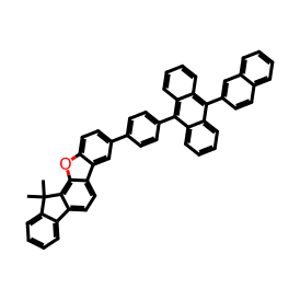 CC1(C)c2ccccc2-c2ccc3c(oc4ccc(-c5ccc(-c6c7ccccc7c(-c7ccc8ccccc8c7)c7ccccc67)cc5)cc43)c21